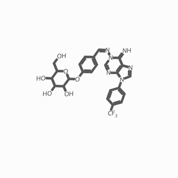 N=c1c2ncn(-c3ccc(C(F)(F)F)cc3)c2ncn1/N=C\c1ccc(OC2OC(CO)C(O)C(O)C2O)cc1